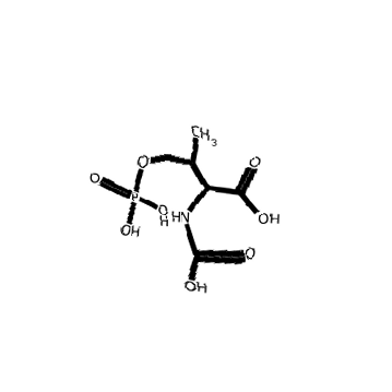 CC(OP(=O)(O)O)C(NC(=O)O)C(=O)O